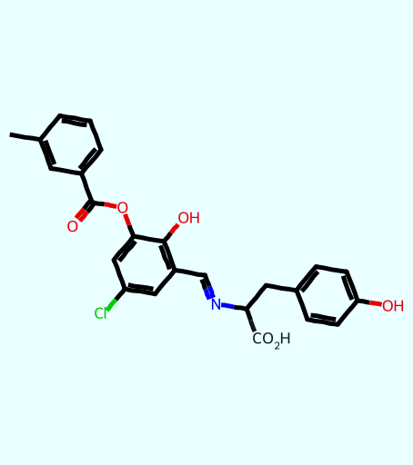 Cc1cccc(C(=O)Oc2cc(Cl)cc(C=NC(Cc3ccc(O)cc3)C(=O)O)c2O)c1